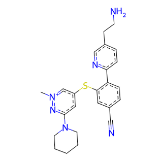 C[n+]1cc(Sc2cc(C#N)ccc2-c2ccc(CCN)cn2)cc(N2CCCCC2)n1